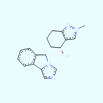 Cn1cc2c(n1)CC[C@@H](C1c3ccccc3-c3cncn31)[C@@H]2O